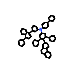 c1ccc(-c2ccc(N(c3cccc(-c4ccc(-c5ccccc5)c5ccccc45)c3)c3cc(-c4ccccc4)c(-c4ccc5c(ccc6ccccc65)c4)c(-c4ccccc4)c3)cc2)cc1